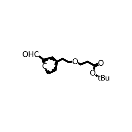 CC(C)(C)OC(=O)CCOCCc1cccc(C=O)c1